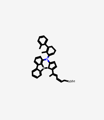 CNC/C=C\C=C(/C)C1=CC=C(N(C2=CCCC(c3ccccc3C)=C2C)c2cccc3c2B(C)c2ccccc2-3)C1